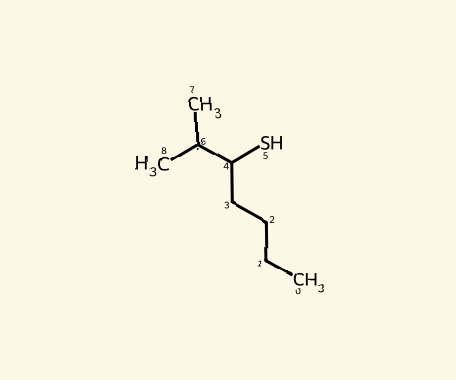 CCCCC(S)[C](C)C